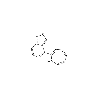 C1=CC=C(c2cccc3cscc23)NC=C1